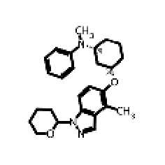 Cc1c(O[C@H]2CCC[C@@H](N(C)c3ccccc3)C2)ccc2c1cnn2C1CCCCO1